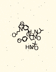 CNC(=O)C(C)(C)C[C@@H]1C[C@H](c2ccc(OC)cc2)[C@@H](OCc2ccc3c(c2)N(CCCOC)CCO3)CN1C(=O)C(N)CC(C)C